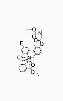 CCOC(=O)C1=CCCCC1S(=O)(=O)N(Cc1cc(C)c(OC(=O)CN(C)C(=O)OC(C)(C)C)c(C)c1)c1ccc(F)cc1Cl